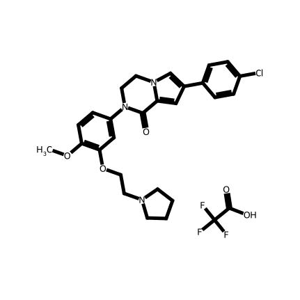 COc1ccc(N2CCn3cc(-c4ccc(Cl)cc4)cc3C2=O)cc1OCCN1CCCC1.O=C(O)C(F)(F)F